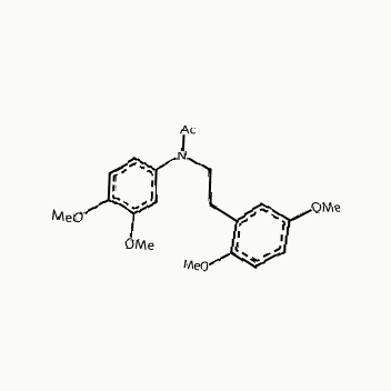 COc1ccc(OC)c(CCN(C(C)=O)c2ccc(OC)c(OC)c2)c1